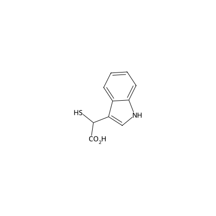 O=C(O)C(S)c1c[nH]c2ccccc12